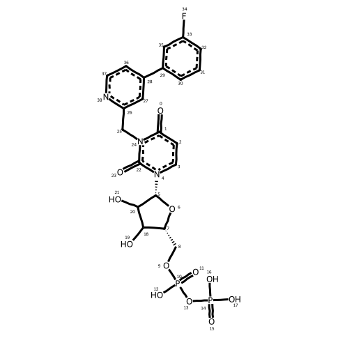 O=c1ccn([C@@H]2O[C@H](COP(=O)(O)OP(=O)(O)O)C(O)C2O)c(=O)n1Cc1cc(-c2cccc(F)c2)ccn1